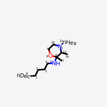 CCCCCCCCCCCCCCNC1(C)OCCN(CCCCCC)C1C